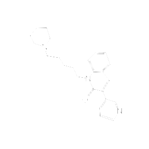 C[C@@H]1CCC[C@H](C)N1CCCCCn1c(=O)c(-c2cccnc2)cc2ccccc21